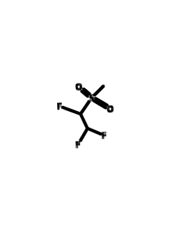 CS(=O)(=O)C(F)C(F)F